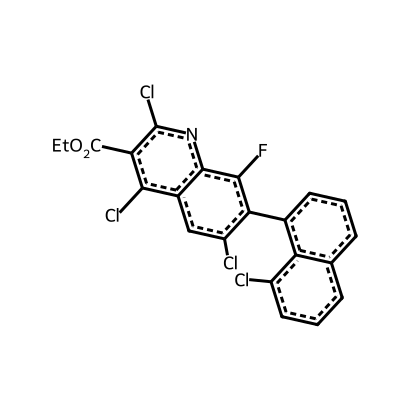 CCOC(=O)c1c(Cl)nc2c(F)c(-c3cccc4cccc(Cl)c34)c(Cl)cc2c1Cl